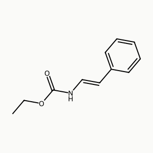 CCOC(=O)N/C=C/c1ccccc1